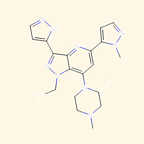 C[C@@H]1CN(C)CCN1c1cc(-c2ccnn2C)nc2c(-c3ccn[nH]3)nn(CC(F)(F)F)c12